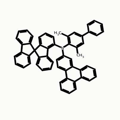 Cc1cc(-c2ccccc2)cc(C)c1N(c1ccc2c3ccccc3c3ccccc3c2c1)c1cccc2c1-c1ccccc1C21c2ccccc2-c2ccccc21